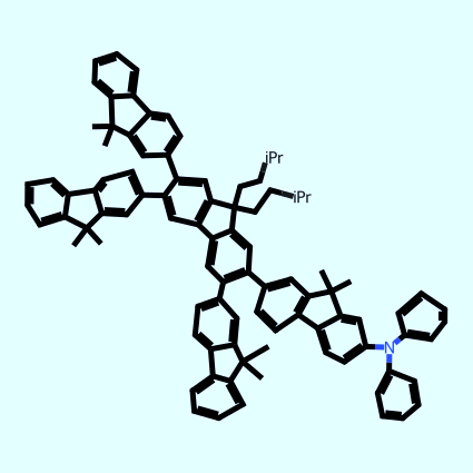 CC(C)CCC1(CCC(C)C)c2cc(-c3ccc4c(c3)C(C)(C)c3ccccc3-4)c(-c3ccc4c(c3)C(C)(C)c3ccccc3-4)cc2-c2cc(-c3ccc4c(c3)C(C)(C)c3ccccc3-4)c(-c3ccc4c(c3)C(C)(C)c3cc(N(c5ccccc5)c5ccccc5)ccc3-4)cc21